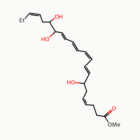 CC/C=C\CC(O)C(O)/C=C/C=C/C=C\C=C\C(O)C/C=C\CCC(=O)OC